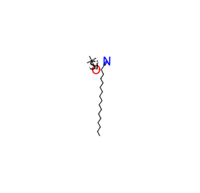 CCCCCCCCCCCCCCCC(C#N)O[Si](C)(C)C(C)(C)C